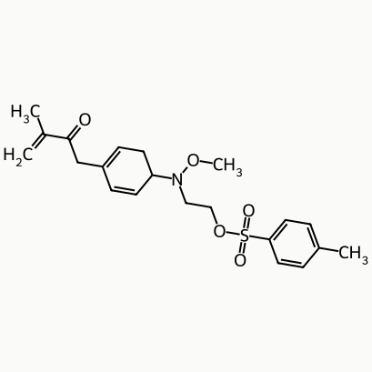 C=C(C)C(=O)CC1=CCC(N(CCOS(=O)(=O)c2ccc(C)cc2)OC)C=C1